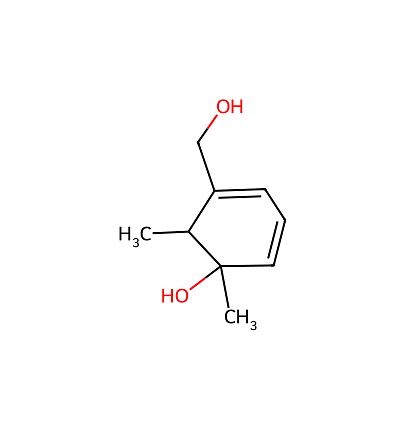 CC1C(CO)=CC=CC1(C)O